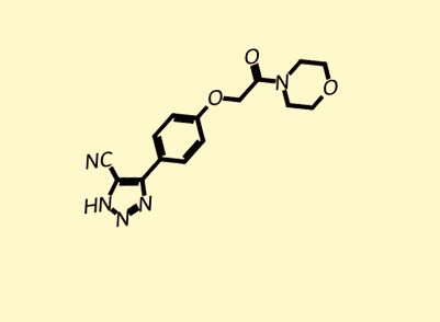 N#Cc1[nH]nnc1-c1ccc(OCC(=O)N2CCOCC2)cc1